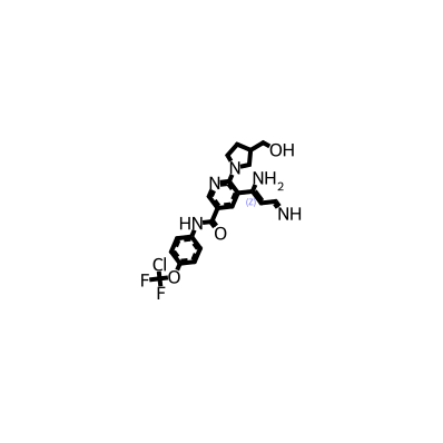 N=C/C=C(\N)c1cc(C(=O)Nc2ccc(OC(F)(F)Cl)cc2)cnc1N1CCC(CO)C1